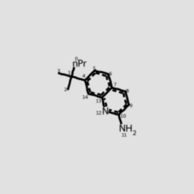 CCCC(C)(C)c1ccc2ccc(N)nc2c1